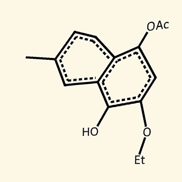 CCOc1cc(OC(C)=O)c2ccc(C)cc2c1O